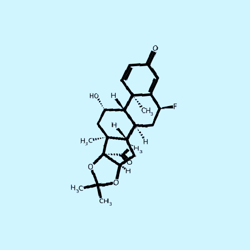 CC(=O)[C@@]12OC(C)(C)O[C@@H]1C[C@H]1[C@@H]3C[C@H](F)C4=CC(=O)C=C[C@]4(C)[C@H]3[C@@H](O)C[C@@]12C